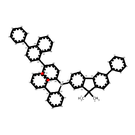 CC1(C)c2ccc(-c3ccccc3)cc2-c2ccc(N(c3ccc(-c4ccc(-c5ccccc5)c5ccccc45)cc3)c3ccccc3-c3ccccc3)cc21